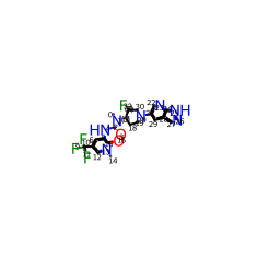 CN(C(=O)Nc1cc(C(F)(F)F)cn(C)c1=O)[C@H]1CCN(c2cnc3[nH]ncc3c2)C[C@H]1F